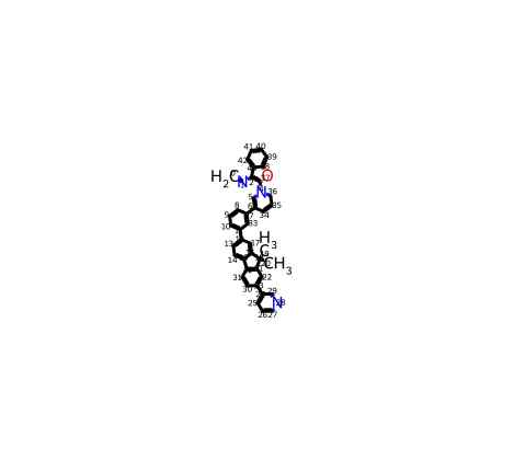 C=Nc1c(N2C=C(c3cccc(-c4ccc5c(c4)C(C)(C)c4cc(-c6cccnc6)ccc4-5)c3)C=CC2)oc2ccccc12